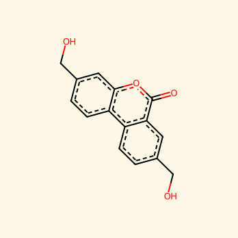 O=c1oc2cc(CO)ccc2c2ccc(CO)cc12